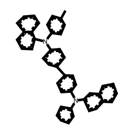 Cc1ccc(N(c2ccc(-c3ccc(N(c4ccccc4)c4ccc5ccccc5c4)cc3)cc2)c2cccc3ccccc23)cc1